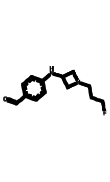 O=Cc1ccc(NC2CN(CCCF)C2)cc1